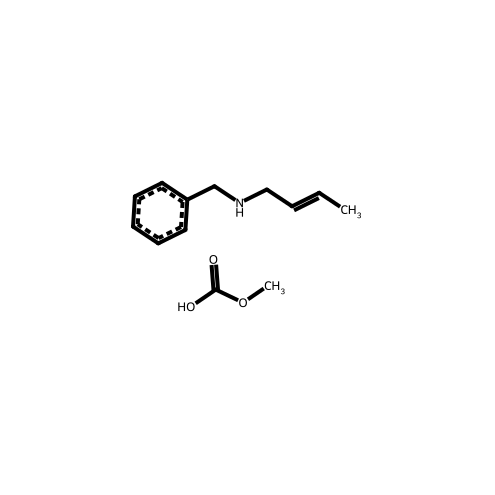 C/C=C/CNCc1ccccc1.COC(=O)O